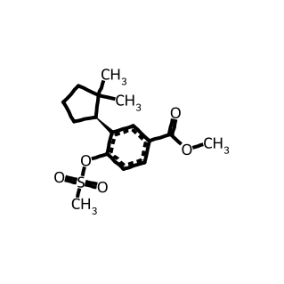 COC(=O)c1ccc(OS(C)(=O)=O)c([C@H]2CCCC2(C)C)c1